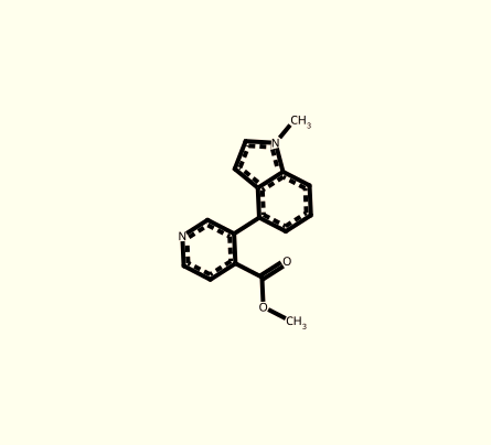 COC(=O)c1ccncc1-c1cccc2c1ccn2C